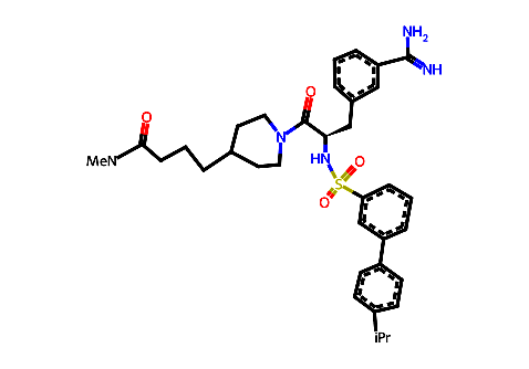 CNC(=O)CCCC1CCN(C(=O)[C@@H](Cc2cccc(C(=N)N)c2)NS(=O)(=O)c2cccc(-c3ccc(C(C)C)cc3)c2)CC1